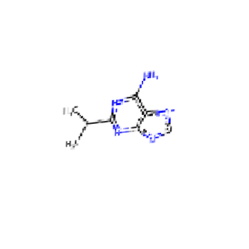 CC(C)c1nc(N)c2[nH]cnc2n1